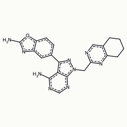 Nc1nc2cc(-c3nn(Cc4ncc5c(n4)CCCC5)c4ncnc(N)c34)ccc2o1